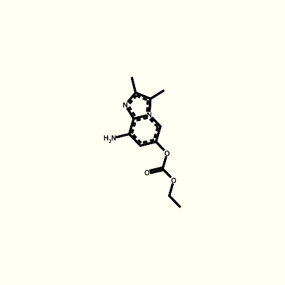 CCOC(=O)Oc1cc(N)c2nc(C)c(C)n2c1